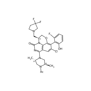 CC(=O)N1C[C@H](C)N(c2nc(=O)n3c4c(c(-c5c(O)cccc5F)c(Cl)cc24)OC[C@@H]3CN2CCC(F)(F)C2)C[C@H]1C